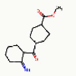 COC(=O)C1CCC(C(=O)C2CCCCC2=N)CC1